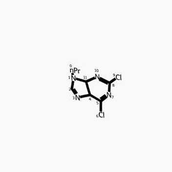 CCCN1C=NC2C(Cl)=NC(Cl)=NC21